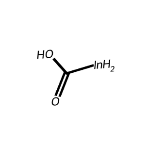 O=[C](O)[InH2]